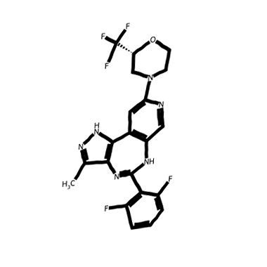 Cc1n[nH]c2c1N=C(c1c(F)cccc1F)Nc1cnc(N3CCO[C@@H](C(F)(F)F)C3)cc1-2